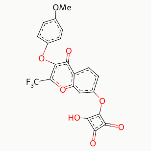 COc1ccc(Oc2c(C(F)(F)F)oc3cc(Oc4c(O)c(=O)c4=O)ccc3c2=O)cc1